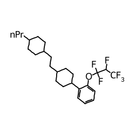 CCCC1CCC(CCC2CCC(c3ccccc3OC(F)(F)C(F)C(F)(F)F)CC2)CC1